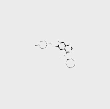 CN1CCC(COc2cc3c(NC4CCCCCC4)ncnc3cn2)CC1